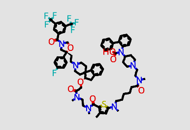 Cc1cc(N(C)CCCCCC(=O)N(C)CCN2CCC(N(C(=O)O)c3ccccc3-c3ccccc3)CC2)sc1C(=O)N(C)CCN(C)C(=O)CO[C@H]1Cc2ccccc2C12CCN(CC[C@@]1(c3ccc(F)cc3)CN(C(=O)c3cc(C(F)(F)F)cc(C(F)(F)F)c3)CO1)CC2